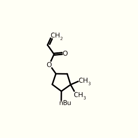 C=CC(=O)OC1CC(CCCC)C(C)(C)C1